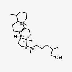 CC(CO)CCC[C@@H](C)[C@H]1CC[C@H]2C3=C(CC[C@]12C)[C@@]1(C)CCCC(C)C1CC3